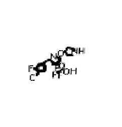 Fc1cc(Cc2cccc(OC3CCNCC3)n2)ccc1Cl.O=C(O)C(F)(F)F